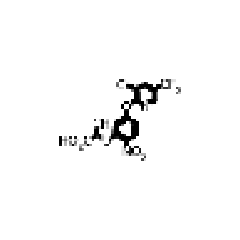 CC(Oc1cc(Oc2ncc(C(F)(F)F)cc2Cl)ccc1[N+](=O)[O-])C(=O)O